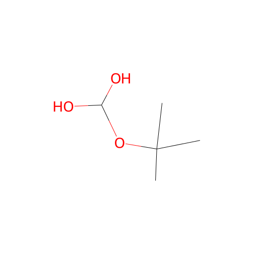 CC(C)(C)OC(O)O